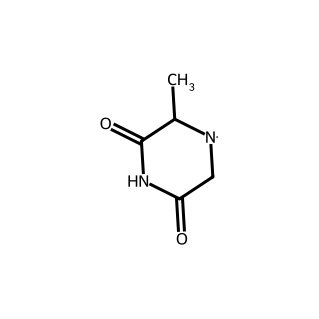 CC1[N]CC(=O)NC1=O